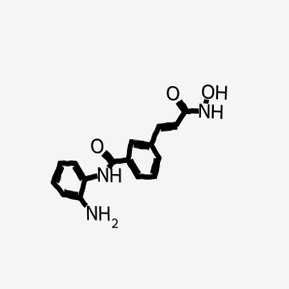 Nc1ccccc1NC(=O)c1cccc(/C=C/C(=O)NO)c1